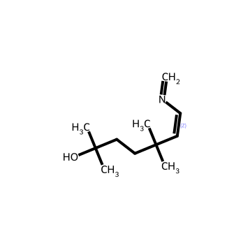 C=N/C=C\C(C)(C)CCC(C)(C)O